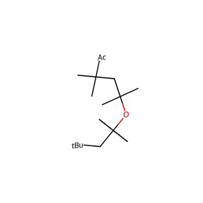 CC(=O)C(C)(C)CC(C)(C)OC(C)(C)CC(C)(C)C